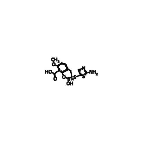 COc1ccc2c(c1C(=O)O)OB(O)[C@@H](Sc1cnc(N)s1)C2